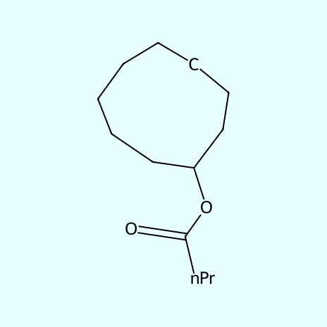 CCCC(=O)OC1CCCCCCCC1